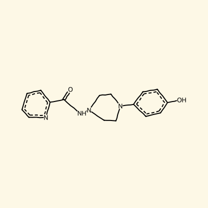 O=C(NN1CCN(c2ccc(O)cc2)CC1)c1ccccn1